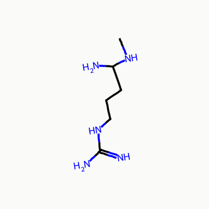 CNC(N)CCCNC(=N)N